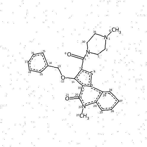 CN1CCN(C(=O)c2sc3c(c2OCc2ccccc2)c(=O)n(C)c2ccccc32)CC1